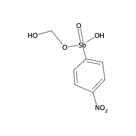 O=[N+]([O-])c1cc[c]([Sb](=[O])([OH])[O]CO)cc1